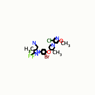 COc1cc(N2CC[C@@H](Oc3ccc(N4N=C(C(F)(F)F)C(C)C4CC#N)cc3Br)[C@H](C)C2)c(Cl)cn1